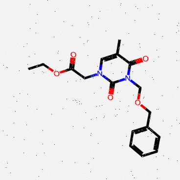 CCOC(=O)Cn1cc(C)c(=O)n(COCc2ccccc2)c1=O